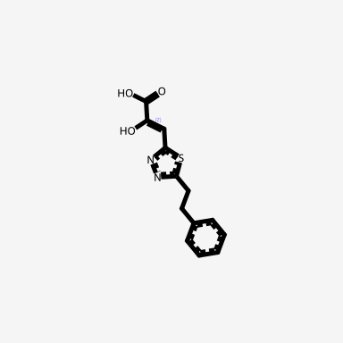 O=C(O)/C(O)=C/c1nnc(CCc2ccccc2)s1